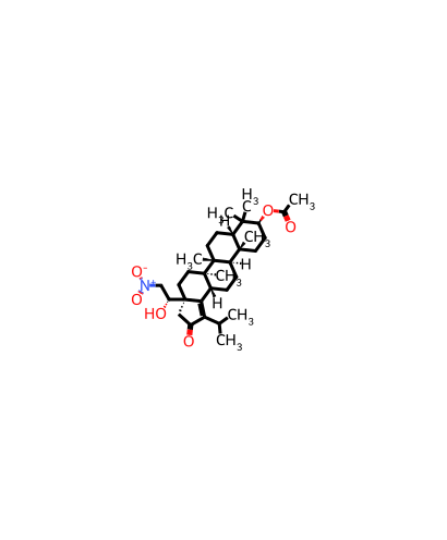 CC(=O)O[C@H]1CC[C@@]2(C)[C@H](CC[C@]3(C)[C@@H]2CC[C@@H]2C4=C(C(C)C)C(=O)C[C@]4([C@H](O)C[N+](=O)[O-])CC[C@]23C)C1(C)C